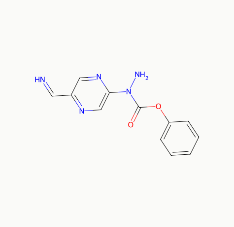 N=Cc1cnc(N(N)C(=O)Oc2ccccc2)cn1